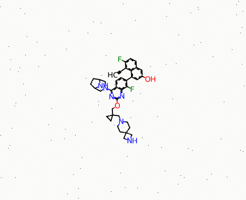 C#Cc1c(F)ccc2cc(O)cc(-c3ccc4c(N5CC6CCC(C5)N6)nc(OCC5(CN6CCC7(CC6)CNC7)CC5)nc4c3F)c12